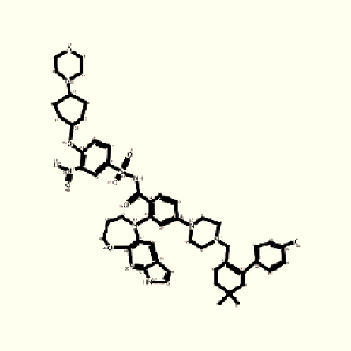 CC1(C)CCC(CN2CCN(c3ccc(C(=O)NS(=O)(=O)c4ccc(OC5CCC(N6CCOCC6)CC5)c([N+](=O)[O-])c4)c(N4CCCOc5nc6[nH]ccc6cc54)c3)CC2)=C(c2ccc(Cl)cc2)C1